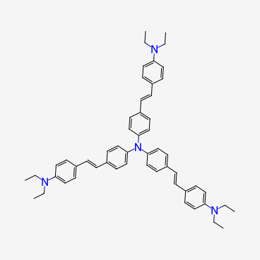 CCN(CC)c1ccc(C=Cc2ccc(N(c3ccc(C=Cc4ccc(N(CC)CC)cc4)cc3)c3ccc(C=Cc4ccc(N(CC)CC)cc4)cc3)cc2)cc1